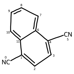 N#Cc1ccc(C#N)c2ccccc12